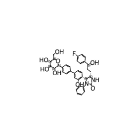 O=C1N[C@@H](CC[C@H](O)c2ccc(F)cc2)[C@@H](c2ccc(-c3ccc([C@@H]4O[C@H](CO)[C@@H](O)[C@H](O)[C@H]4O)cc3)cc2O)N1c1ccccc1